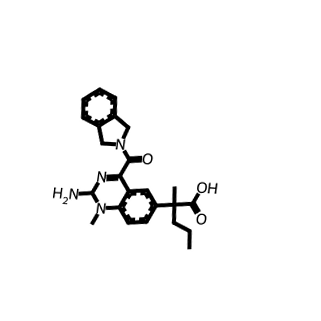 CCCC(C)(C(=O)O)c1ccc2c(c1)C(C(=O)N1Cc3ccccc3C1)=NC(N)N2C